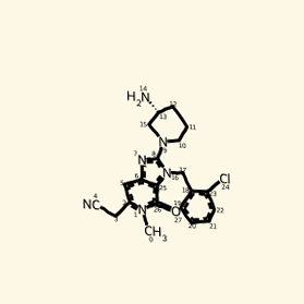 Cn1c(CC#N)cc2nc(N3CCC[C@@H](N)C3)n(Cc3ccccc3Cl)c2c1=O